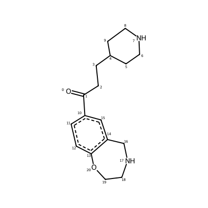 O=C(CCC1CCNCC1)c1ccc2c(c1)CNCCO2